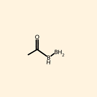 BBC(C)=O